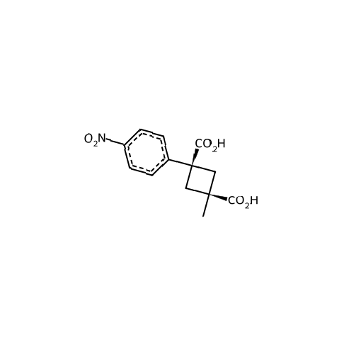 C[C@]1(C(=O)O)C[C@](C(=O)O)(c2ccc([N+](=O)[O-])cc2)C1